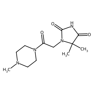 CN1CCN(C(=O)CN2C(=O)NC(=O)C2(C)C)CC1